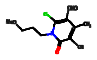 COCCCn1c(Cl)c(C=O)c(C)c(C#N)c1=O